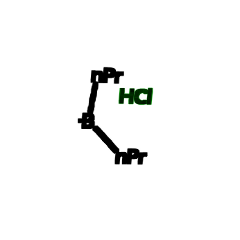 CCC[B]CCC.Cl